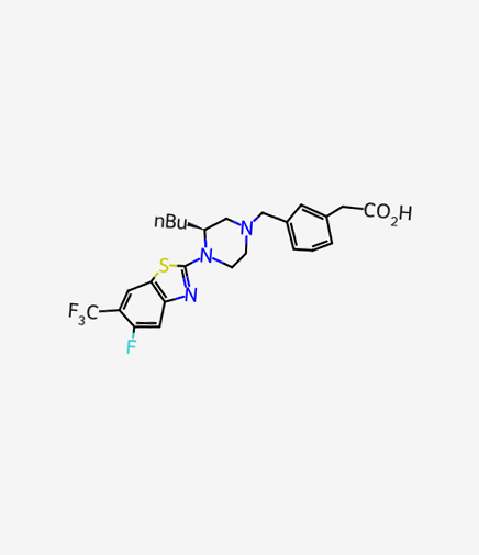 CCCC[C@H]1CN(Cc2cccc(CC(=O)O)c2)CCN1c1nc2cc(F)c(C(F)(F)F)cc2s1